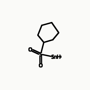 O=[S](=O)([SnH])C1CCCCC1